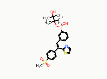 CC(C)(O)C(C)(C)OB(O)c1cccc(/C=C(/c2ccc(S(C)(=O)=O)cc2)c2nccs2)c1